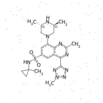 Cc1nc(-c2nnn(C)n2)c2cc(S(=O)(=O)NC3(C)CC3)cc(N3C[C@H](C)N[C@@H](C)C3)c2n1